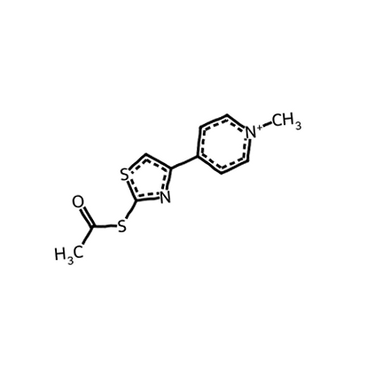 CC(=O)Sc1nc(-c2cc[n+](C)cc2)cs1